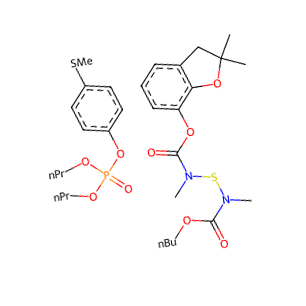 CCCCOC(=O)N(C)SN(C)C(=O)Oc1cccc2c1OC(C)(C)C2.CCCOP(=O)(OCCC)Oc1ccc(SC)cc1